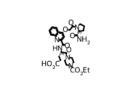 CCOC(=O)N1CCN(C(=O)[C@H](CCC(=O)O)NC(=O)c2cc(OCC(=O)N3CCC[C@@H]3C(N)=O)c3ccccc3n2)CC1